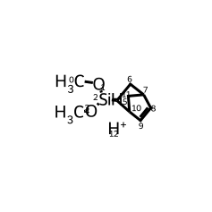 CO[SiH](OC)C1CC2C=CC1C2.[H+]